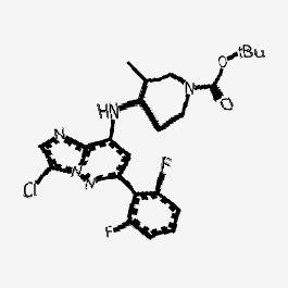 CC1CN(C(=O)OC(C)(C)C)CCC1Nc1cc(-c2c(F)cccc2F)nn2c(Cl)cnc12